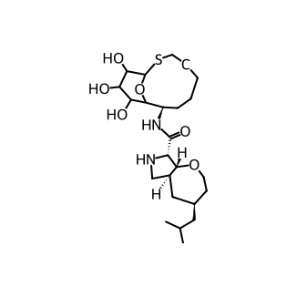 CC(C)C[C@@H]1CCO[C@@H]2[C@H](CN[C@@H]2C(=O)N[C@@H]2CCCCCSC3OC2C(O)C(O)C3O)C1